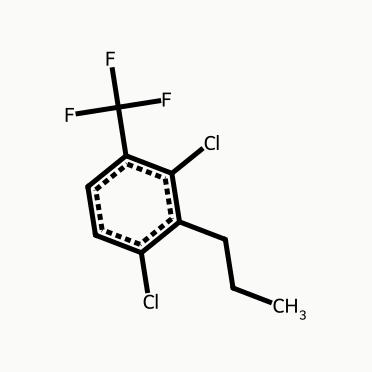 CCCc1c(Cl)ccc(C(F)(F)F)c1Cl